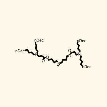 CCCCCCCCCCCCCCN(CCCCCCCCCCCCCC)CCC(=O)OCCCCN(C)CCCCOC(=O)CCN(CCCCCCCCCCCCCC)CCCCCCCCCCCCCC